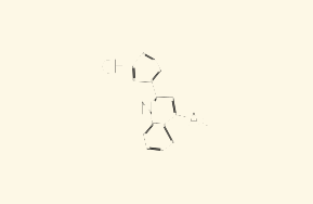 CC(=O)c1cc(-c2cccc(Cl)c2)nc2ccccc12